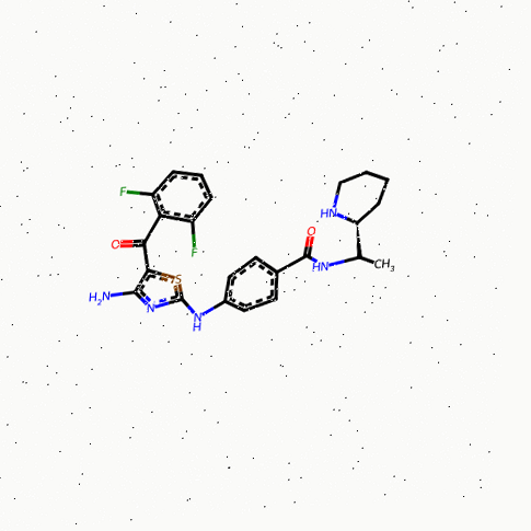 CC(NC(=O)c1ccc(Nc2nc(N)c(C(=O)c3c(F)cccc3F)s2)cc1)[C@@H]1CCCCN1